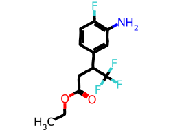 CCOC(=O)CC(c1ccc(F)c(N)c1)C(F)(F)F